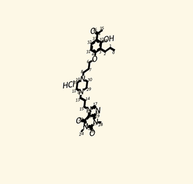 CCCc1c(OCCCN2CCN(CCCn3cnc4c3c(=O)n(C)c(=O)n4C)CC2)ccc(C(C)=O)c1O.Cl